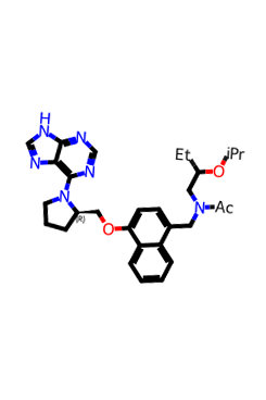 CCC(CN(Cc1ccc(OC[C@H]2CCCN2c2ncnc3[nH]cnc23)c2ccccc12)C(C)=O)OC(C)C